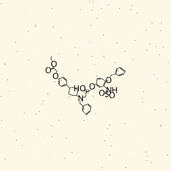 CCOC(=O)COc1ccc(C2CCC(N(Cc3ccccc3)C[C@H](O)COc3ccc(OCc4ccccc4)c(NS(C)(=O)=O)c3)CC2)cc1